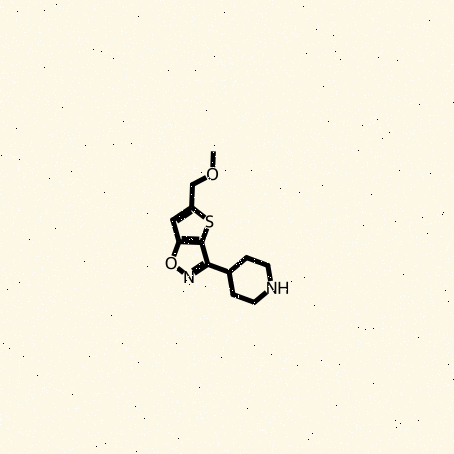 COCc1cc2onc(C3CCNCC3)c2s1